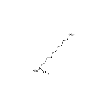 CCCCCCCCCCCCCCCCCCCN(C)CCCC